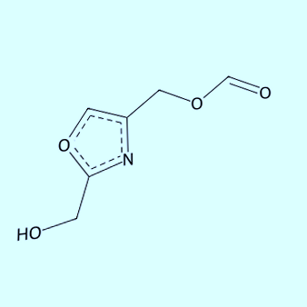 O=COCc1coc(CO)n1